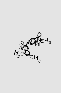 Cc1cc(C)c2[nH]c(=O)c(CN3CC4C(=O)N(C)[C@@H]4C3)cc2c1